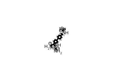 CC(C)(C)OC(=O)NC(C)(C)c1ccc(-c2ccc3c(C(N)=O)c(NC(N)=O)[nH]c3c2)cc1